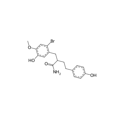 COc1cc(Br)c(CC(CCc2ccc(O)cc2)C(N)=O)cc1O